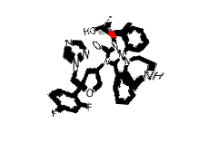 CCC([C@@H](C)O)N1C(=O)N(C2COC(Cn3cncn3)(c3ccc(F)cc3F)C2)C(c2ccccc2)[N+]1(c1ccccc1OC)N1CCNCC1